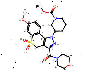 CC(C)(C)OC(=O)N1CCCC(n2nc(C(=O)N3CCOCC3)c3c2-c2ccc(OC(F)(F)F)cc2S(=O)(=O)C3)C1